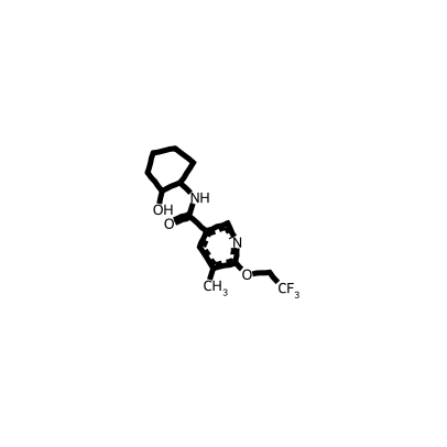 Cc1cc(C(=O)NC2CCCCC2O)cnc1OCC(F)(F)F